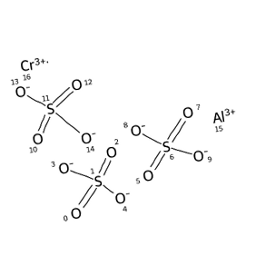 O=S(=O)([O-])[O-].O=S(=O)([O-])[O-].O=S(=O)([O-])[O-].[Al+3].[Cr+3]